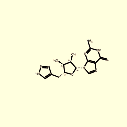 Nc1nc2c(ncn2[C@@H]2O[C@H](Cc3c[nH]nn3)[C@@H](O)[C@H]2O)c(=O)[nH]1